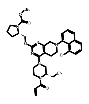 C=CC(=O)N1CCN(c2nc(OC[C@@H]3CCCN3C(=O)OC(C)(C)C)nc3c2CCN(c2cccc4cccc(Br)c24)C3)C[C@@H]1CC#N